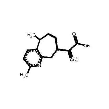 C=C(C(=O)O)C1CCC(C)c2ccc(C)nc2C1